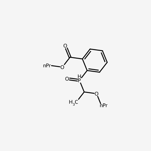 CCCOC(=O)c1ccccc1[PH](=O)C(C)OCCC